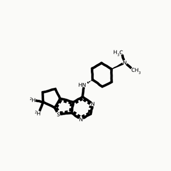 [2H]C1([2H])CCc2c1sc1ncnc(N[C@H]3CC[C@H](N(C)C)CC3)c21